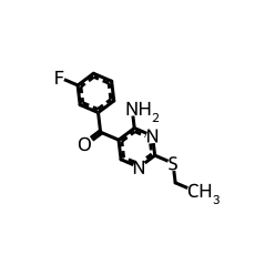 CCSc1ncc(C(=O)c2cccc(F)c2)c(N)n1